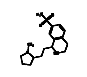 CN1CCCC1CCC1NCCc2ccc(S(N)(=O)=O)cc21